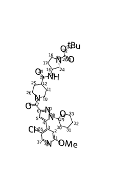 COc1cc(-c2cc(C(=O)N3CCC(C(=O)NC4CCN(C(=O)OC(C)(C)C)C4)CC3)nn2C2CCCCO2)c(Cl)cn1